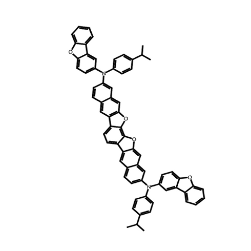 CC(C)c1ccc(N(c2ccc3cc4c(cc3c2)oc2c4ccc3c4cc5ccc(N(c6ccc(C(C)C)cc6)c6ccc7oc8ccccc8c7c6)cc5cc4oc32)c2ccc3oc4ccccc4c3c2)cc1